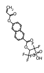 C=CC(=O)Oc1ccc2cc(C(=O)OC(C(F)(F)F)C(F)(F)S(=O)(=O)O)ccc2c1